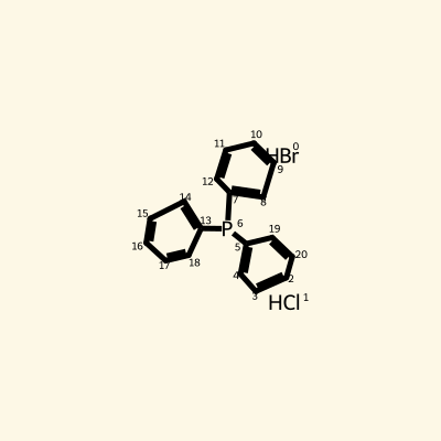 Br.Cl.c1ccc(P(c2ccccc2)c2ccccc2)cc1